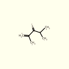 C=C(C)C(=S)C(C)C